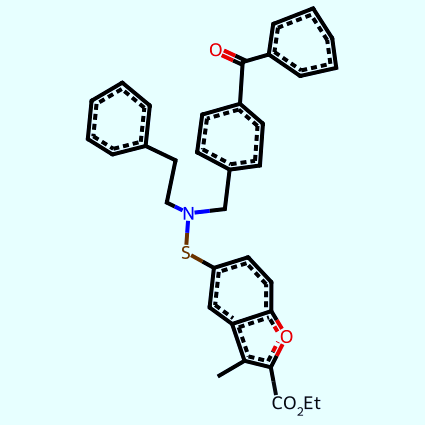 CCOC(=O)c1oc2ccc(SN(CCc3ccccc3)Cc3ccc(C(=O)c4ccccc4)cc3)cc2c1C